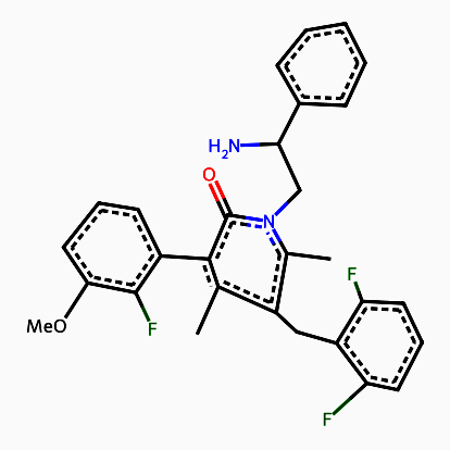 COc1cccc(-c2c(C)c(Cc3c(F)cccc3F)c(C)n(CC(N)c3ccccc3)c2=O)c1F